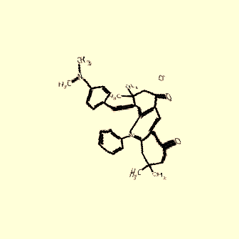 CN(C)c1ccc(/C=C2/c3c(cc4c([n+]3-c3ccccc3)CC(C)(C)CC4=O)C(=O)CC2(C)C)cc1.[Cl-]